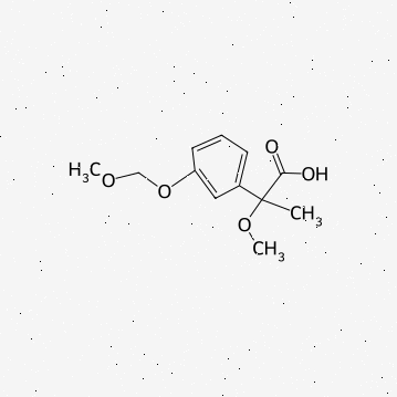 COCOc1cccc(C(C)(OC)C(=O)O)c1